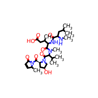 CNC(CC(C)C)C(=O)NC(C(=O)N(C)C(C(=O)N1C[C@@H](O)C[C@H]1C(=O)N1C(=O)C=CC1C)C(C)C)C(C)CC(=O)O